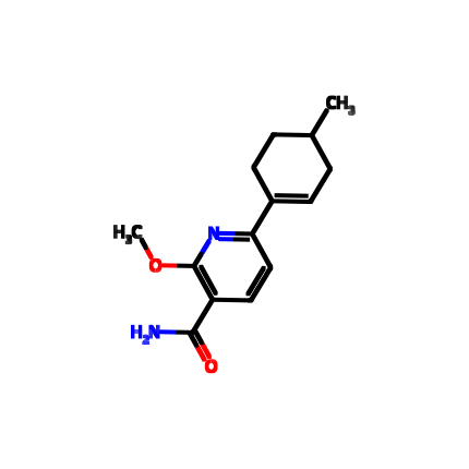 COc1nc(C2=CCC(C)CC2)ccc1C(N)=O